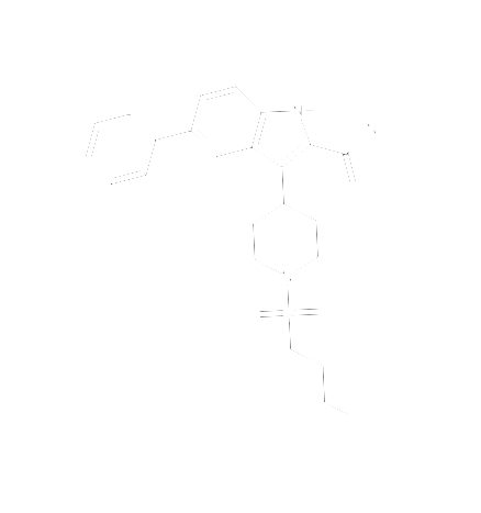 NC(=O)c1[nH]c2ccc(-c3ccccc3)cc2c1C1CCN(S(=O)(=O)CCCCl)CC1